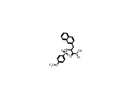 CCN(C#N)C(=O)C(Cc1ccc2ccccc2c1)NS(=O)(=O)c1ccc(OC(F)(F)F)cc1